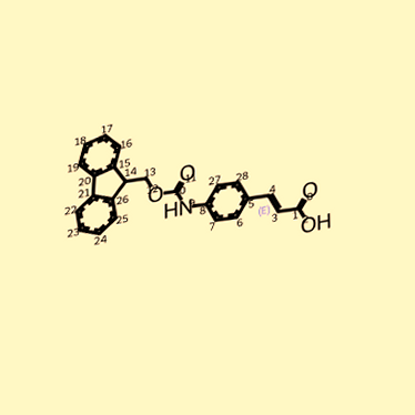 O=C(O)/C=C/c1ccc(NC(=O)OCC2c3ccccc3-c3ccccc32)cc1